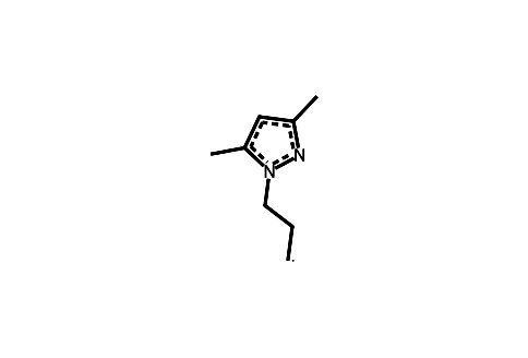 [CH2]CCn1nc(C)cc1C